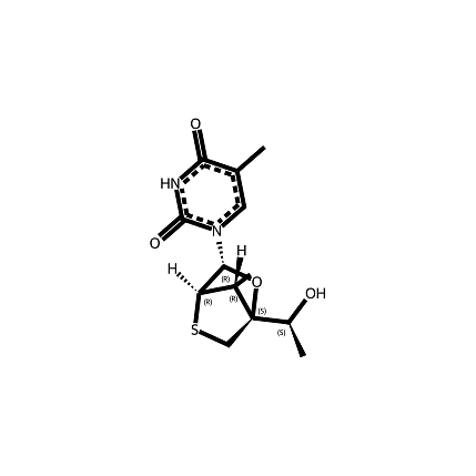 Cc1cn([C@@H]2O[C@@]3([C@H](C)O)CS[C@@H]2[C@@H]3C)c(=O)[nH]c1=O